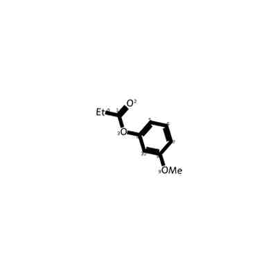 CCC(=O)Oc1cccc(OC)c1